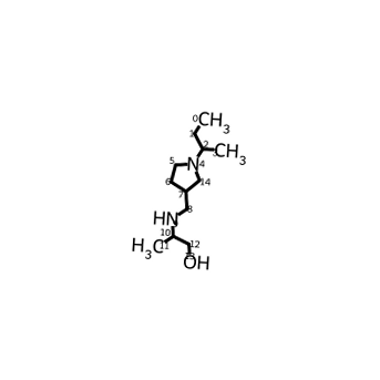 CCC(C)N1CCC(CNC(C)CO)C1